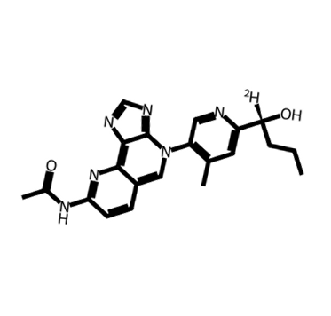 [2H][C@@](O)(CCC)c1cc(C)c(-n2cc3ccc(NC(C)=O)nc3c3ncnc2-3)cn1